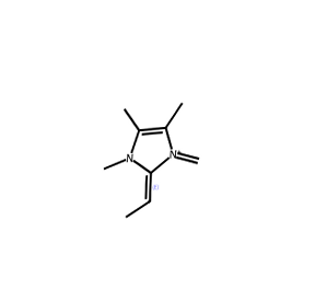 C=[n+]1c(C)c(C)n(C)/c1=C\C